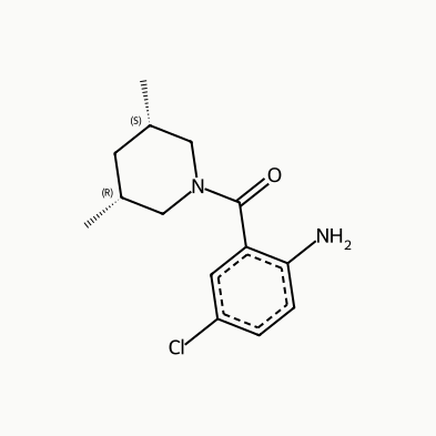 C[C@@H]1C[C@H](C)CN(C(=O)c2cc(Cl)ccc2N)C1